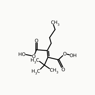 CCCC/C(C(=O)OO)=C(\C(=O)OO)C(C)(C)C